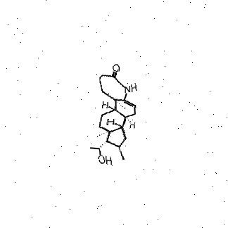 CC(O)[C@H]1[C@H](C)C[C@H]2[C@@H]3CC=C4NC(=O)CC[C@]4(C)[C@H]3CC[C@@]21C